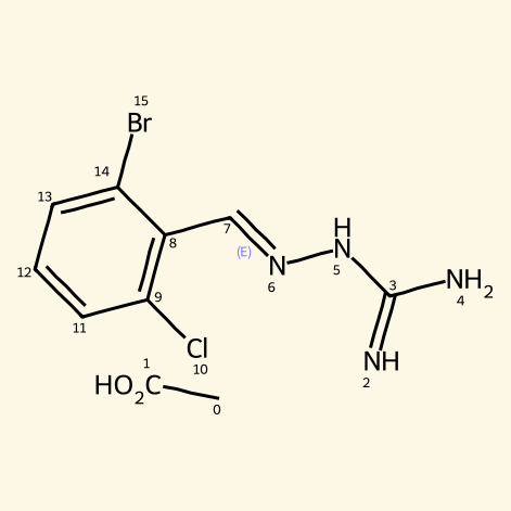 CC(=O)O.N=C(N)N/N=C/c1c(Cl)cccc1Br